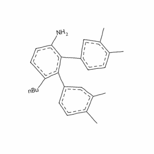 CCCCc1ccc(N)c(-c2ccc(C)c(C)c2)c1-c1ccc(C)c(C)c1